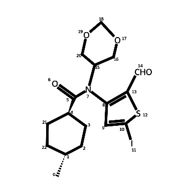 C[C@H]1CC[C@H](C(=O)N(c2cc(I)sc2C=O)C2COCOC2)CC1